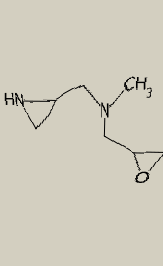 CN(CC1CN1)CC1CO1